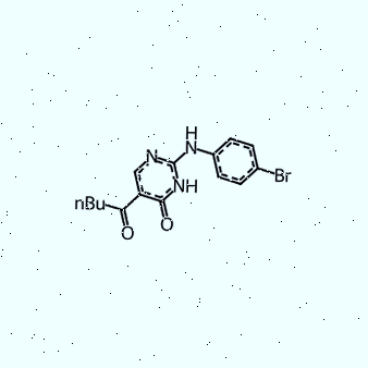 CCCCC(=O)c1cnc(Nc2ccc(Br)cc2)[nH]c1=O